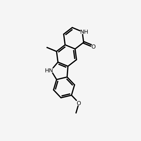 COc1ccc2[nH]c3c(C)c4cc[nH]c(=O)c4cc3c2c1